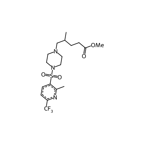 COC(=O)CCC(C)CN1CCN(S(=O)(=O)c2ccc(C(F)(F)F)nc2C)CC1